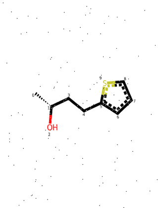 C[C@@H](O)CCc1cccs1